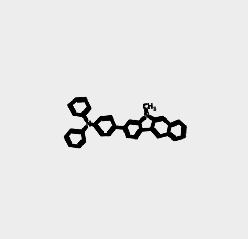 Cn1c2cc(-c3ccc(N(c4ccccc4)c4ccccc4)cc3)ccc2c2cc3ccccc3cc21